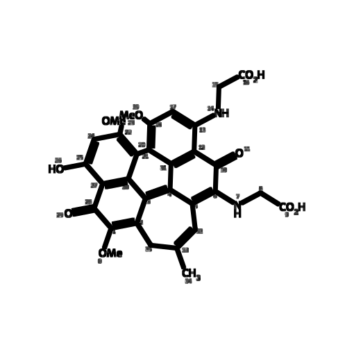 COc1c2c3c4c(c(NCC(=O)O)c(=O)c5c(NCC(=O)O)cc(OC)c(c6c(OC)cc(O)c(c1=O)c63)c54)C=C(C)C2